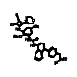 CCN(CC)Cc1ccc(-c2ccc(NC(=O)Nc3cc(C(C)(C)C)cc(Nc4c(N5CCOCC5)c(=O)c4=O)c3OC)c3ccccc23)cn1